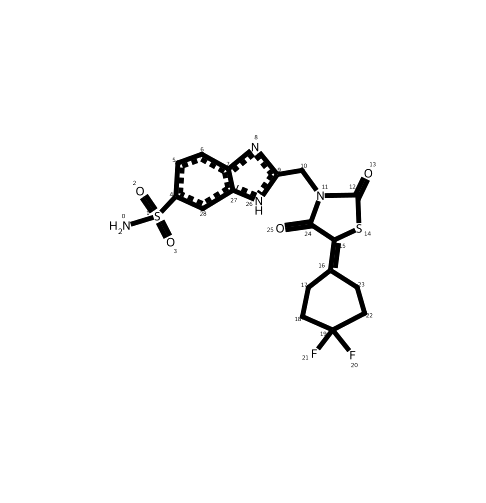 NS(=O)(=O)c1ccc2nc(CN3C(=O)SC(=C4CCC(F)(F)CC4)C3=O)[nH]c2c1